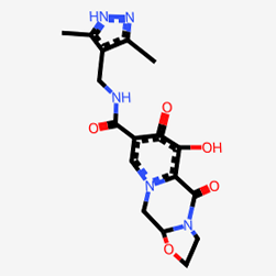 Cc1n[nH]c(C)c1CNC(=O)c1cn2c(c(O)c1=O)C(=O)N1CCOC1C2